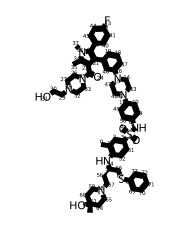 Cc1cc(S(=O)(=O)Nc2ccc(N3CCN(c4cccc(-c5c(C(=O)N6CCN(CCO)CC6)c(C)n(C)c5-c5ccc(F)cc5)c4)CC3)cc2)ccc1N[C@H](CCN1CCC(C)(O)CC1)CSc1ccccc1